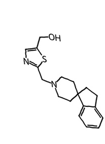 OCc1cnc(CN2CCC3(CCc4ccccc43)CC2)s1